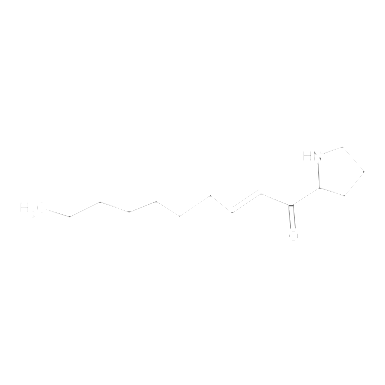 CCCCCCC/C=C/C(=O)C1CCCN1